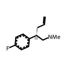 C=CC[C@H](CNC)c1ccc(F)cc1